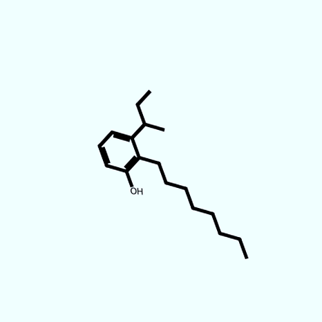 CCCCCCCCc1c(O)cccc1C(C)CC